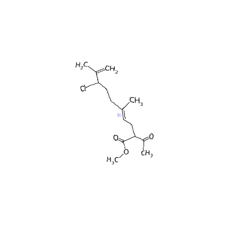 C=C(C)C(Cl)CC/C(C)=C/CC(C(C)=O)C(=O)OC